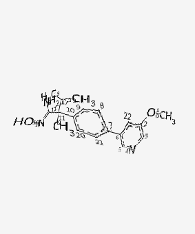 COc1cncc(-c2ccc(C(C)(/C(N)=N/O)C(C)C)cc2)c1